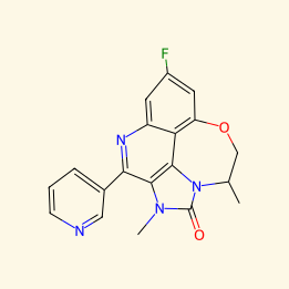 CC1COc2cc(F)cc3nc(-c4cccnc4)c4c(c23)n1c(=O)n4C